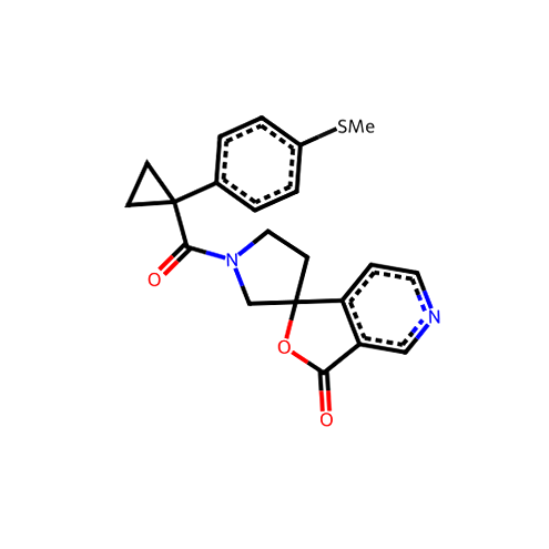 CSc1ccc(C2(C(=O)N3CCC4(C3)OC(=O)c3cnccc34)CC2)cc1